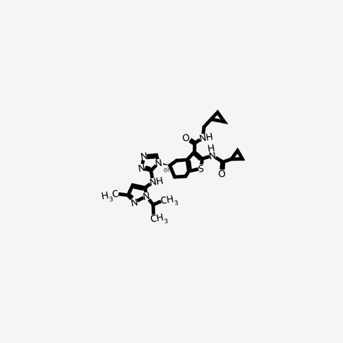 Cc1cc(Nc2nncn2[C@H]2CCc3sc(NC(=O)C4CC4)c(C(=O)NCC4CC4)c3C2)n(C(C)C)n1